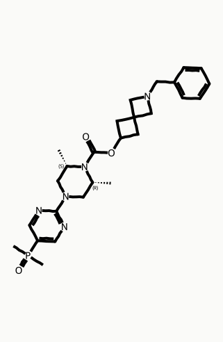 C[C@@H]1CN(c2ncc(P(C)(C)=O)cn2)C[C@H](C)N1C(=O)OC1CC2(C1)CN(Cc1ccccc1)C2